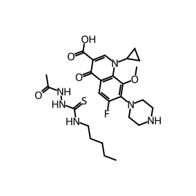 CCCCCNC(=S)NNC(C)=O.COc1c(N2CCNCC2)c(F)cc2c(=O)c(C(=O)O)cn(C3CC3)c12